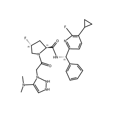 CN(C)C1=CNNN1CC(=O)N1C[C@H](F)C[C@H]1C(=O)N[C@@H](c1ccccc1)c1ccc(C2CC2)c(F)n1